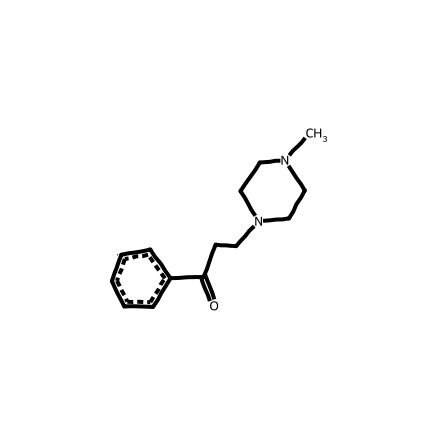 CN1CCN(CCC(=O)c2c[c]ccc2)CC1